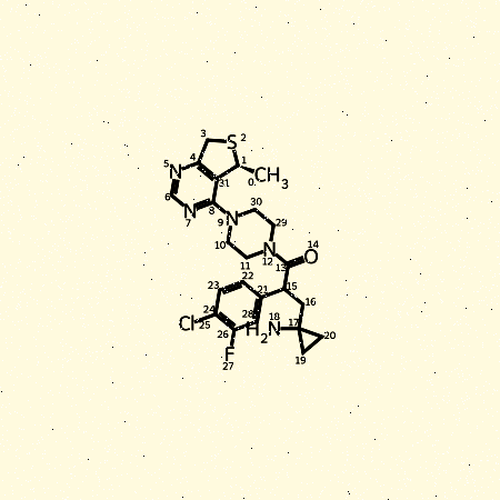 C[C@@H]1SCc2ncnc(N3CCN(C(=O)C(CC4(N)CC4)c4ccc(Cl)c(F)c4)CC3)c21